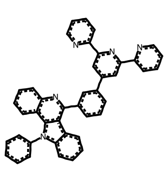 c1ccc(-n2c3ccccc3c3c(-c4cccc(-c5cc(-c6ccccn6)nc(-c6ccccn6)c5)c4)nc4ccccc4c32)cc1